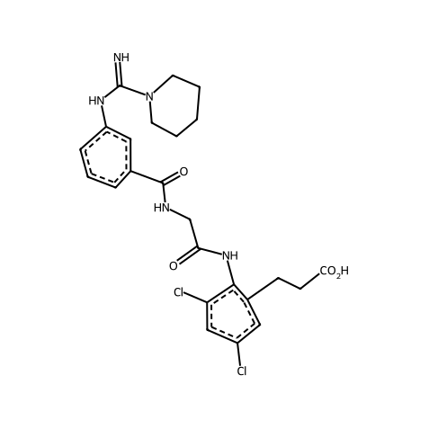 N=C(Nc1cccc(C(=O)NCC(=O)Nc2c(Cl)cc(Cl)cc2CCC(=O)O)c1)N1CCCCC1